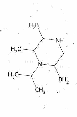 BC1NCC(B)N(C(C)C)C1C